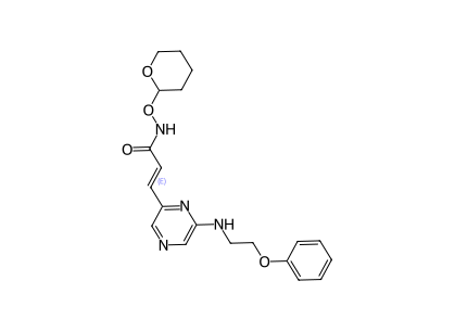 O=C(/C=C/c1cncc(NCCOc2ccccc2)n1)NOC1CCCCO1